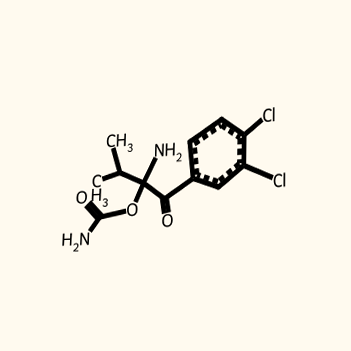 CC(C)C(N)(OC(N)=O)C(=O)c1ccc(Cl)c(Cl)c1